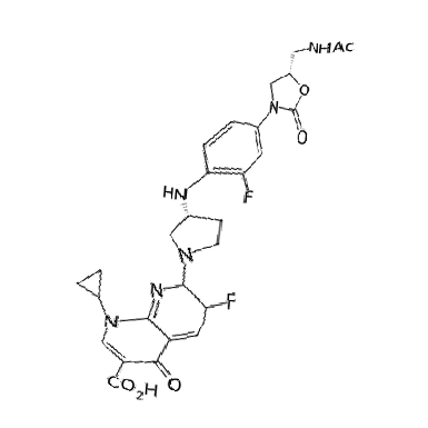 CC(=O)NC[C@H]1CN(c2ccc(N[C@@H]3CCN(C4N=c5c(c(=O)c(C(=O)O)cn5C5CC5)=CC4F)C3)c(F)c2)C(=O)O1